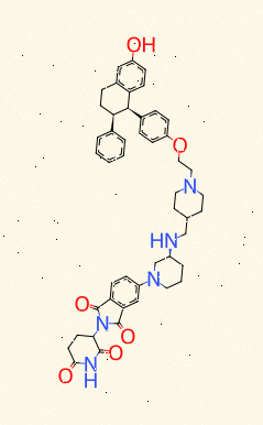 O=C1CCC(N2C(=O)c3ccc(N4CCC[C@H](NCC5CCN(CCOc6ccc([C@@H]7c8ccc(O)cc8CC[C@@H]7c7ccccc7)cc6)CC5)C4)cc3C2=O)C(=O)N1